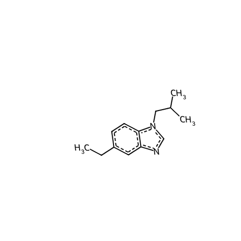 CCc1ccc2c(c1)ncn2CC(C)C